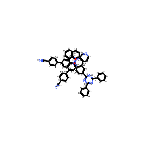 N#Cc1ccc(-c2ccc3c(c2)c2ccccc2n3-c2ccc(-c3nc(-c4ccccc4)nc(-c4ccccc4)n3)cc2-c2ccncc2-n2c3ccccc3c3cc(-c4ccc(C#N)cc4)ccc32)cc1